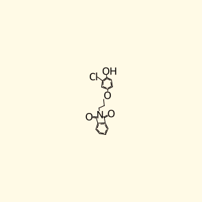 O=C1c2ccccc2C(=O)N1CCCOc1ccc(O)c(Cl)c1